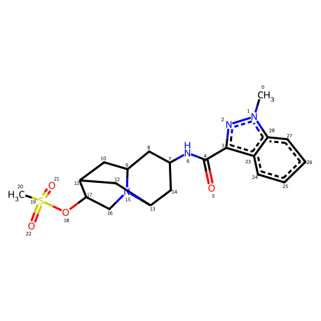 Cn1nc(C(=O)NC2CC3CC4CC(C2)N3CC4OS(C)(=O)=O)c2ccccc21